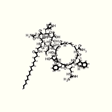 CCCCCCCCCCCCCCCC(=O)NCC(=O)N[C@@H](CO)[C@H](O)N[C@H](CC(N)=O)C(=O)N[C@@H](Cc1c[nH]cn1)[C@H](O)N[C@@H](C(C)O)[C@H](O)N[C@@H](CCCC)[C@H](O)N[C@H]1CCC(=O)NCCCC[C@@H](C(N)=O)NC(=O)[C@H](Cc2c[nH]c3ccccc23)NC(=O)[C@H](CCCNC(=N)N)NC(=O)[C@@H](Cc2ccccc2)NC(=O)[C@@H]2C[C@@H](O)CN2[C@H]1O